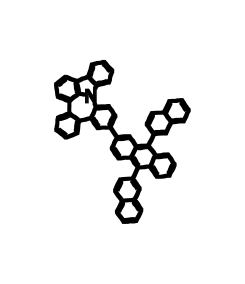 c1ccc2c(c1)-c1cc(-c3ccc4c(-c5ccc6ccccc6c5)c5ccccc5c(-c5ccc6ccccc6c5)c4c3)ccc1-n1c3ccccc3c3cccc-2c31